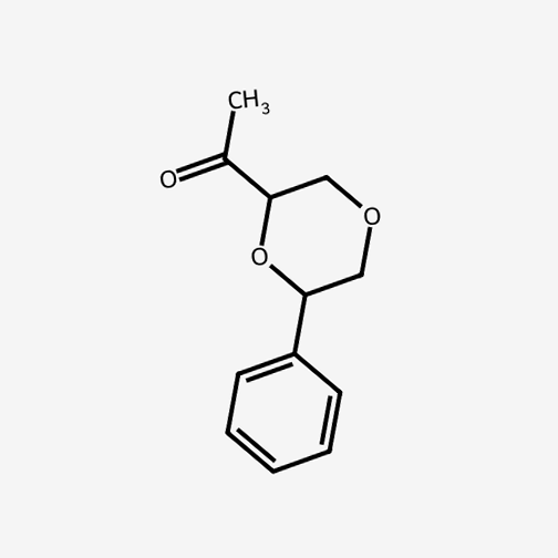 CC(=O)C1COCC(c2ccccc2)O1